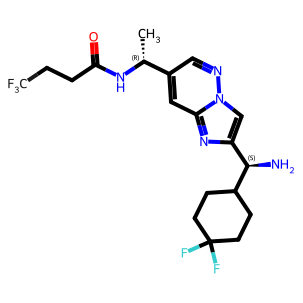 C[C@@H](NC(=O)CCC(F)(F)F)c1cnn2cc([C@@H](N)C3CCC(F)(F)CC3)nc2c1